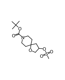 CC(C)(C)OC(=O)N1CCC2(CC1)CC(OS(C)(=O)=O)CO2